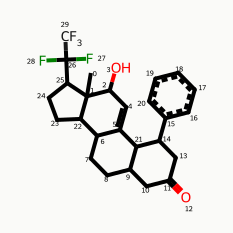 CC12C(O)C=C3C(CCC4CC(=O)CC(c5ccccc5)C34)C1CCC2C(F)(F)C(F)(F)F